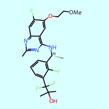 COCCOc1cc2c(N[C@H](C)c3cccc(C(F)(F)C(C)(C)O)c3F)nc(C)nc2cc1F